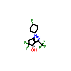 O[C@H]1c2c(C(F)(F)F)nn([C@H]3CC[C@H](F)CC3)c2CC1(F)F